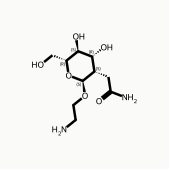 NCCO[C@H]1O[C@H](CO)[C@@H](O)[C@H](O)[C@@H]1CC(N)=O